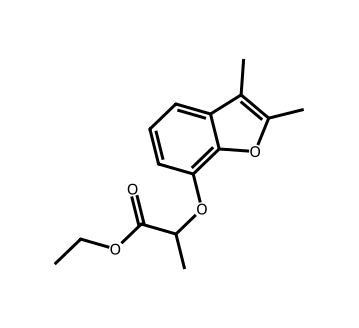 CCOC(=O)C(C)Oc1cccc2c(C)c(C)oc12